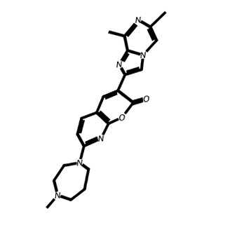 Cc1cn2cc(-c3cc4ccc(N5CCCN(C)CC5)nc4oc3=O)nc2c(C)n1